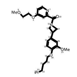 COCCOc1ccnc(C(=O)N2CC(c3ccc(OCCCCC(C)C)c(OC)c3)C2)c1